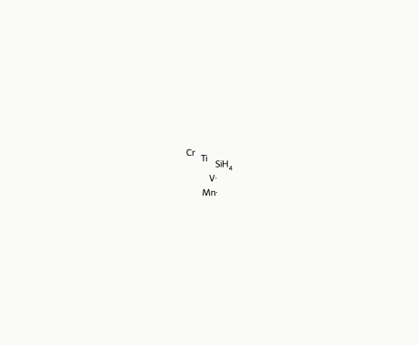 [Cr].[Mn].[SiH4].[Ti].[V]